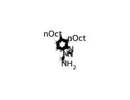 CCCCCCCCc1ccc2c(nnn2CN)c1CCCCCCCC